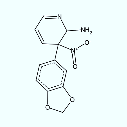 NC1N=CC=CC1(c1ccc2c(c1)OCO2)[N+](=O)[O-]